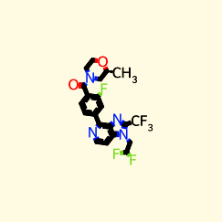 C[C@H]1CN(C(=O)c2ccc(-c3nccc4c3nc(C(F)(F)F)n4CC(F)F)cc2F)CCO1